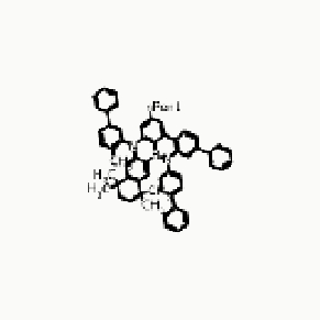 CCCCCc1cc2c3c(c1)N(c1cc(-c4ccccc4)ccc1C)c1cc4c(cc1B3N(c1ccc(-c3ccccc3)cc1)c1cc(-c3ccccc3)ccc1-2)C(C)(C)CCC4(C)C